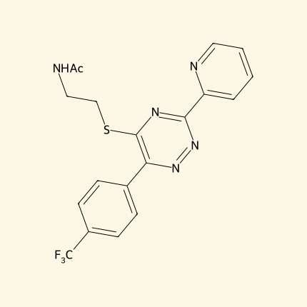 CC(=O)NCCSc1nc(-c2ccccn2)nnc1-c1ccc(C(F)(F)F)cc1